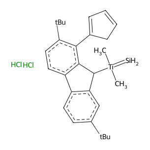 CC(C)(C)c1ccc2c(c1)[CH]([Ti]([CH3])([CH3])=[SiH2])c1c-2ccc(C(C)(C)C)c1C1=CC=CC1.Cl.Cl